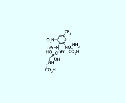 CCCN(CCC)c1c([N+](=O)[O-])cc(C(F)(F)F)cc1[N+](=O)[O-].NCC(=O)O.O=C(O)CNCP(=O)(O)O